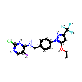 CCOc1cc(C(F)(F)F)nn1-c1ccc(CNc2nc(Cl)ncc2I)cc1